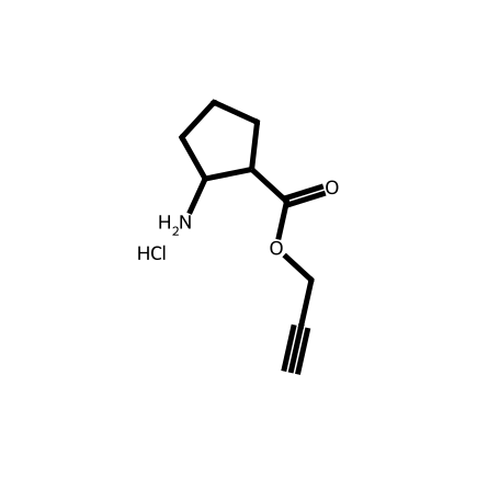 C#CCOC(=O)C1CCCC1N.Cl